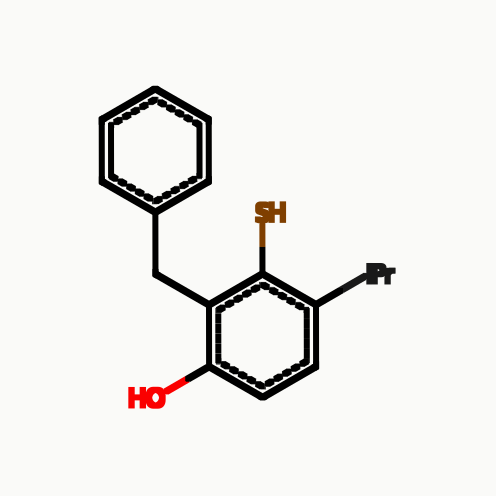 CC(C)c1ccc(O)c(Cc2ccccc2)c1S